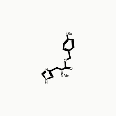 CN[C@@H](Cc1c[nH]cn1)C(=O)OCc1ccc(C(C)(C)C)cc1